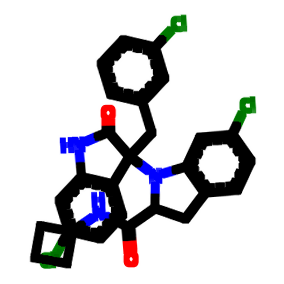 O=C(NC1CCC1)C1Cc2ccc(Cl)cc2N1C1(Cc2cccc(Cl)c2)C(=O)Nc2cc(Cl)ccc21